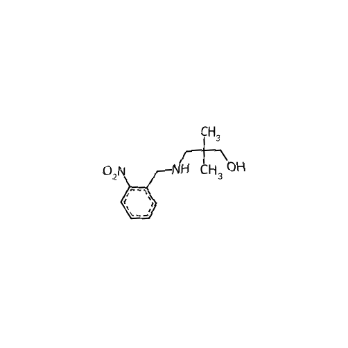 CC(C)(CO)CNCc1ccccc1[N+](=O)[O-]